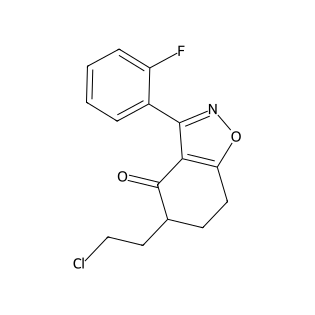 O=C1c2c(-c3ccccc3F)noc2CCC1CCCl